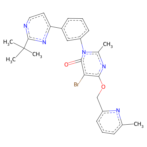 Cc1cccc(COc2nc(C)n(-c3cccc(-c4ccnc(C(C)(C)C)n4)c3)c(=O)c2Br)n1